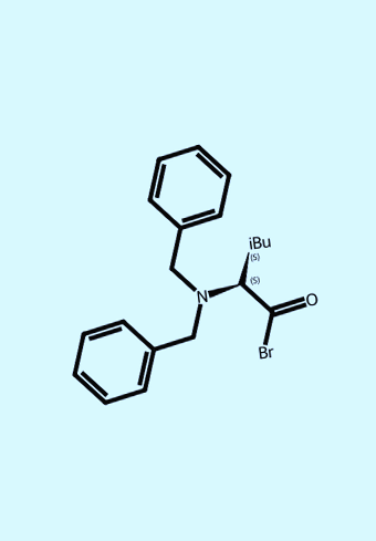 CC[C@H](C)[C@@H](C(=O)Br)N(Cc1ccccc1)Cc1ccccc1